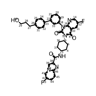 O=C(N[C@H]1CC[C@@H](n2c(=O)c3cc(F)cnc3n(-c3cccc(-c4ccc(CCCO)cc4)c3)c2=O)CC1)c1cn2cc(F)ccc2n1